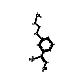 COCOc1cccc(C(C)=NO)c1